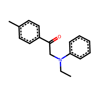 CCN(CC(=O)c1ccc(C)cc1)c1ccccc1